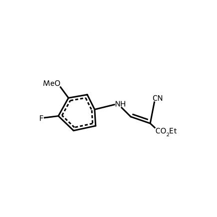 CCOC(=O)C(C#N)=CNc1ccc(F)c(OC)c1